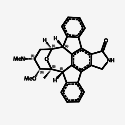 CN[C@@H]1C[C@@H]2O[C@@](C)([C@H]3c4ccccc4-c4c5c(c6c(c43)[C@H]2c2ccccc2-6)C(=O)NC5)[C@@H]1OC